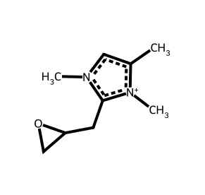 Cc1cn(C)c(CC2CO2)[n+]1C